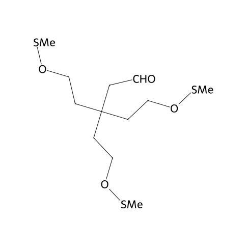 CSOCCC(CC=O)(CCOSC)CCOSC